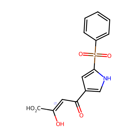 O=C(O)/C(O)=C/C(=O)c1c[nH]c(S(=O)(=O)c2ccccc2)c1